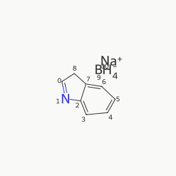 C1=Nc2ccccc2C1.[BH4-].[Na+]